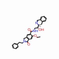 CCOc1cc2c(cc1C(=O)NC[C@@H](O)[C@@H]1Cc3ccccc3C=N1)CN(CCc1ccccc1)C2=O